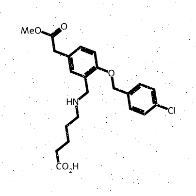 COC(=O)Cc1ccc(OCc2ccc(Cl)cc2)c(CNCCCCC(=O)O)c1